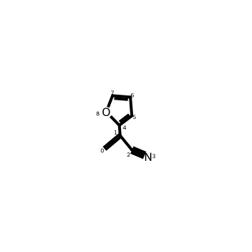 C=C(C#N)c1ccco1